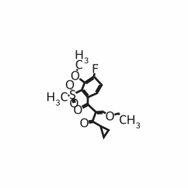 CCOC=C(C(=O)c1ccc(F)c(OC)c1S(C)(=O)=O)C(=O)C1CC1